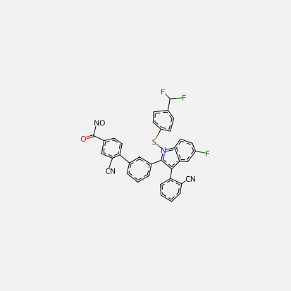 N#Cc1cc(C(=O)N=O)ccc1-c1cccc(-c2c(-c3ccccc3C#N)c3cc(F)ccc3n2Sc2ccc(C(F)F)cc2)c1